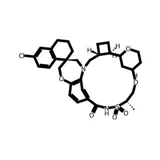 C[C@H]1CO[C@@H]2CCO[C@@H](C2)[C@@H]2CC[C@H]2CN2C[C@@]3(CCCc4cc(Cl)ccc43)COc3ccc(cc32)C(=O)NS1(=O)=O